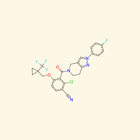 N#Cc1ccc(OCC2(C(F)(F)F)CC2)c(C(=O)N2CCc3nn(-c4ccc(F)cc4)cc3C2)c1Cl